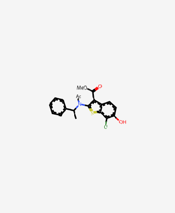 COC(=O)c1c(N(C(C)=O)C(C)c2ccccc2)sc2c(Cl)c(O)ccc12